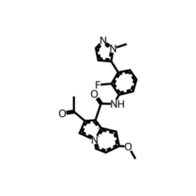 COc1ccn2cc(C(C)=O)c(C(=O)Nc3cccc(-c4ccnn4C)c3F)c2c1